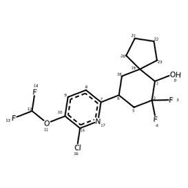 OC1C(F)(F)CC(c2ccc(OC(F)F)c(Cl)n2)CC12CCCC2